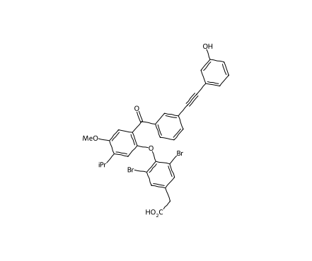 COc1cc(C(=O)c2cccc(C#Cc3cccc(O)c3)c2)c(Oc2c(Br)cc(CC(=O)O)cc2Br)cc1C(C)C